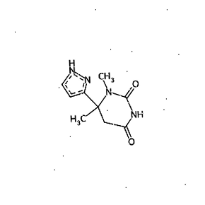 CN1C(=O)NC(=O)CC1(C)c1cc[nH]n1